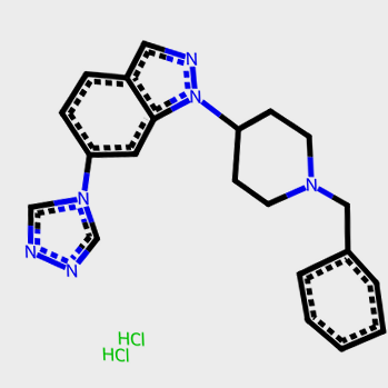 Cl.Cl.c1ccc(CN2CCC(n3ncc4ccc(-n5cnnc5)cc43)CC2)cc1